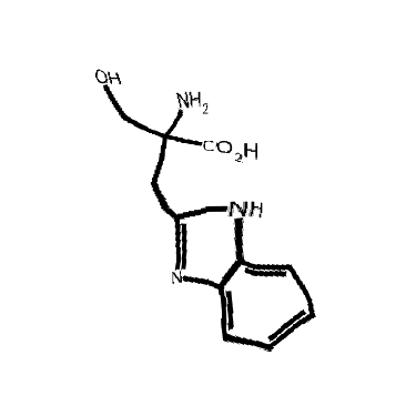 NC(CO)(Cc1nc2ccccc2[nH]1)C(=O)O